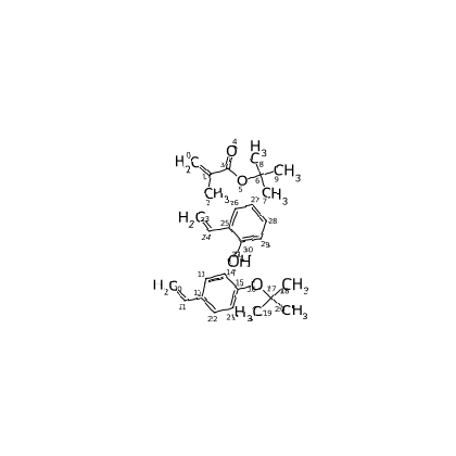 C=C(C)C(=O)OC(C)(C)C.C=Cc1ccc(OC(C)(C)C)cc1.C=Cc1ccccc1O